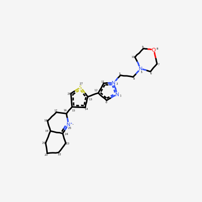 c1nn(CCN2CCOCC2)cc1-c1cc(C2CCC3CCCCC3=[N+]2)cs1